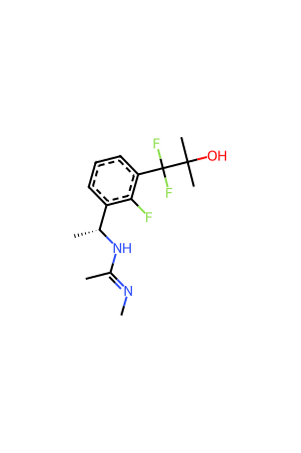 C/N=C(\C)N[C@H](C)c1cccc(C(F)(F)C(C)(C)O)c1F